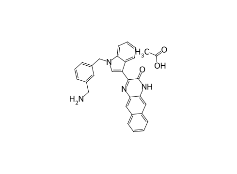 CC(=O)O.NCc1cccc(Cn2cc(-c3nc4cc5ccccc5cc4[nH]c3=O)c3ccccc32)c1